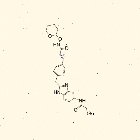 CC(C)(C)CC(=O)Nc1ccc2[nH]c(Cc3ccc(/C=C/C(=O)NOC4CCCCO4)cc3)nc2c1